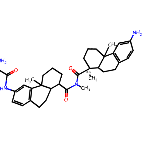 CN(C(=O)C1CCCC2(C)c3cc(NC(=O)CN)ccc3CCC12)C(=O)[C@@]1(C)CCCC2(C)c3cc(N)ccc3CCC21